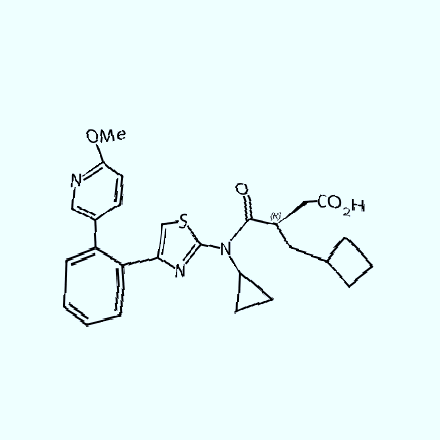 COc1ccc(-c2ccccc2-c2csc(N(C(=O)[C@@H](CC(=O)O)CC3CCC3)C3CC3)n2)cn1